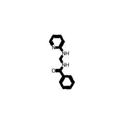 O=C(NCNc1ccccn1)c1ccccc1